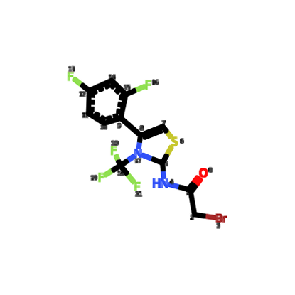 O=C(CBr)NC1SC=C(c2ccc(F)cc2F)N1C(F)(F)F